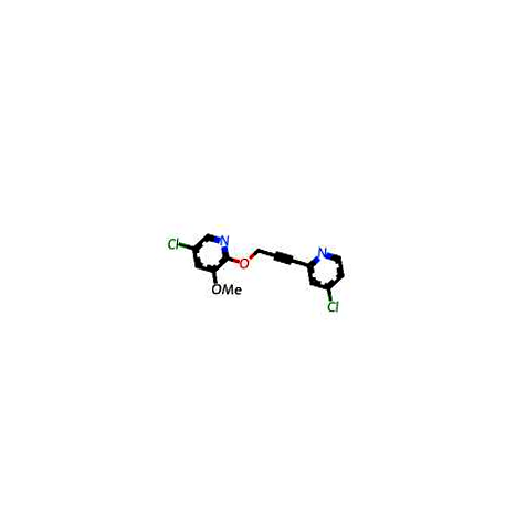 COc1cc(Cl)cnc1OCC#Cc1cc(Cl)ccn1